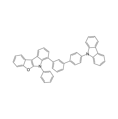 c1ccc(-n2c3oc4ccccc4c3c3cccc(-c4cccc(-c5ccc(-n6c7ccccc7c7ccccc76)cc5)c4)c32)cc1